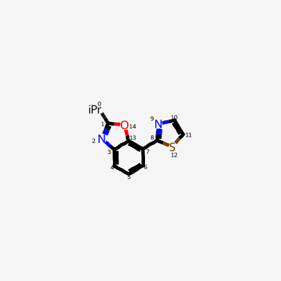 CC(C)c1nc2cccc(-c3nccs3)c2o1